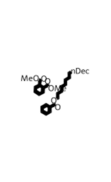 CCCCCCCCCCCCCCCCCCOC(=O)c1ccccc1.COC(=O)c1ccccc1C(=O)OC